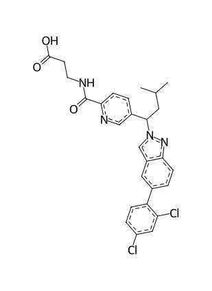 CC(C)CC(c1ccc(C(=O)NCCC(=O)O)nc1)n1cc2cc(-c3ccc(Cl)cc3Cl)ccc2n1